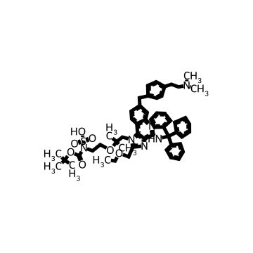 CCOCc1nc2c(NC(c3ccccc3)(c3ccccc3)c3ccccc3)nc3cc(Cc4ccc(CCN(C)C)cc4)ccc3c2n1CC(C)(C)OCCN(C(=O)OC(C)(C)C)S(=O)(=O)O